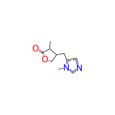 CC1C(=O)OCC1Cc1cncn1C